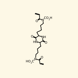 C=CC(=O)N(CCCCC1NC(=O)C(CCCCN(C(=O)O)C(=O)C=C)NC1=O)C(=O)O